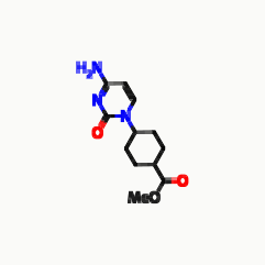 COC(=O)C1CCC(n2ccc(N)nc2=O)CC1